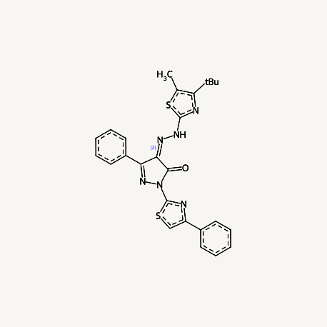 Cc1sc(N/N=C2\C(=O)N(c3nc(-c4ccccc4)cs3)N=C2c2ccccc2)nc1C(C)(C)C